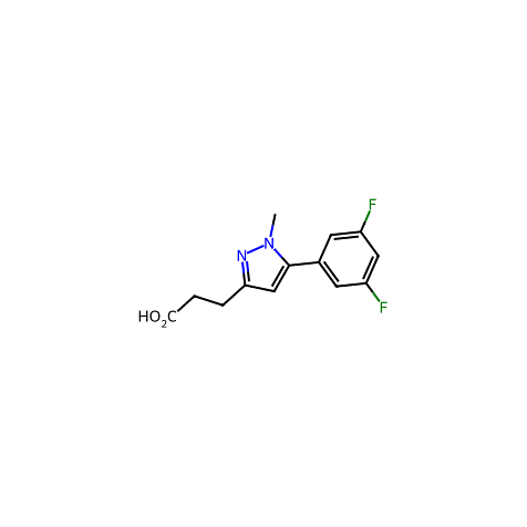 Cn1nc(CCC(=O)O)cc1-c1cc(F)cc(F)c1